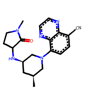 C[C@H]1C[C@@H](NC2CCN(C)C2=O)CN(c2ccc(C#N)c3nccnc23)C1